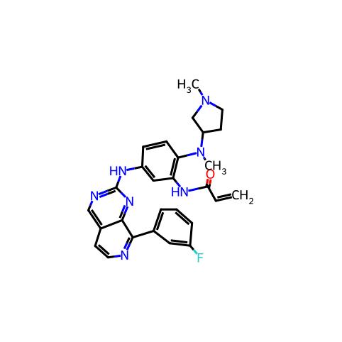 C=CC(=O)Nc1cc(Nc2ncc3ccnc(-c4cccc(F)c4)c3n2)ccc1N(C)C1CCN(C)C1